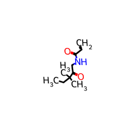 C=CC(=O)NCC(=O)C(C)(C)CC